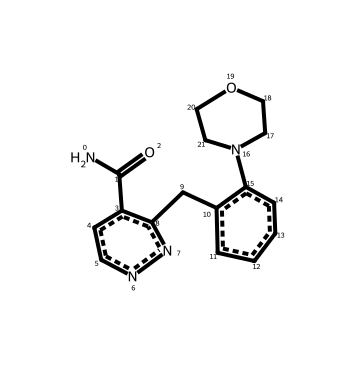 NC(=O)c1ccnnc1Cc1ccccc1N1CCOCC1